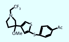 COC1(c2csc(Sc3ccc(C(C)=O)cc3)c2)CCN(CC(F)(F)F)C1